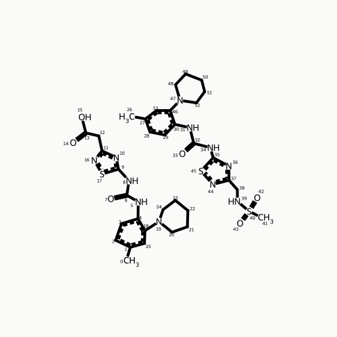 Cc1ccc(NC(=O)Nc2nc(CC(=O)O)ns2)c(N2CCCCC2)c1.Cc1ccc(NC(=O)Nc2nc(CNS(C)(=O)=O)ns2)c(N2CCCCC2)c1